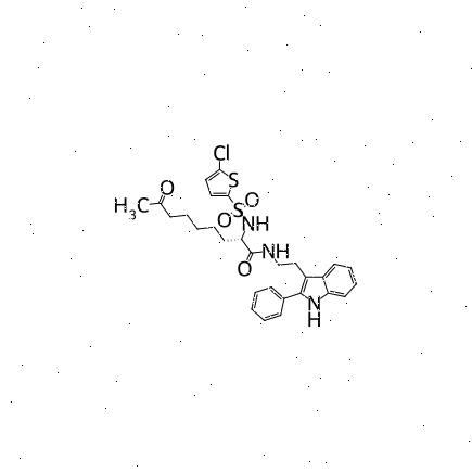 CC(=O)CCCCC[C@H](NS(=O)(=O)c1ccc(Cl)s1)C(=O)NCCc1c(-c2ccccc2)[nH]c2ccccc12